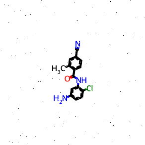 Cc1cc(C#N)ccc1C(=O)Nc1cc(N)ccc1Cl